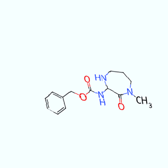 CN1CCCNC(NC(=O)OCc2ccccc2)C1=O